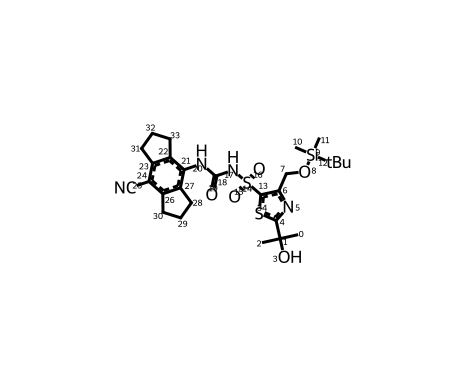 CC(C)(O)c1nc(CO[Si](C)(C)C(C)(C)C)c(S(=O)(=O)NC(=O)Nc2c3c(c(C#N)c4c2CCC4)CCC3)s1